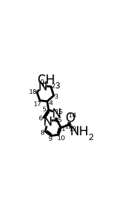 CN1CCC(c2cn3cccc(C(N)=O)c3n2)CC1